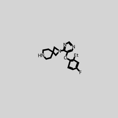 CCc1cc(F)ccc1Oc1cncnc1N1CC2(CCNCC2)C1